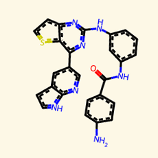 Nc1ccc(C(=O)Nc2cccc(Nc3nc(-c4cnc5[nH]ccc5c4)c4sccc4n3)c2)cc1